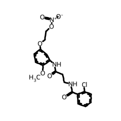 COc1ccc(OCCO[N+](=O)[O-])cc1NC(=O)CCNC(=O)c1ccccc1Cl